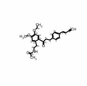 C#CC=Cc1ccc(CCC(=O)c2cc(OCC)c(OC)cc2CCNC(C)=O)cc1